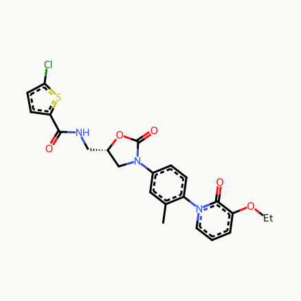 CCOc1cccn(-c2ccc(N3C[C@H](CNC(=O)c4ccc(Cl)s4)OC3=O)cc2C)c1=O